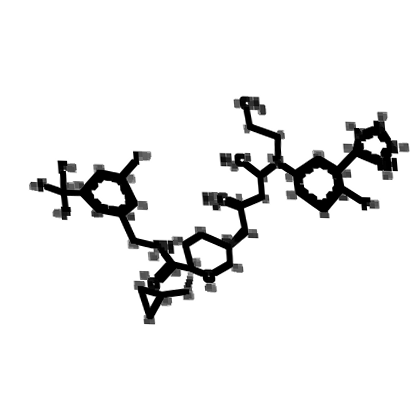 C=C(CC(C)N(CCC)c1ccc(F)c(-c2nnn[nH]2)c1)C[C@@H]1CC[C@](CC2CC2)(C(=O)NCc2cc(F)cc(C(F)(F)F)c2)OC1